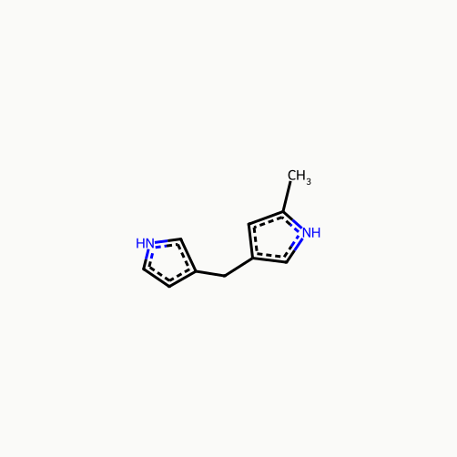 Cc1cc(Cc2cc[nH]c2)c[nH]1